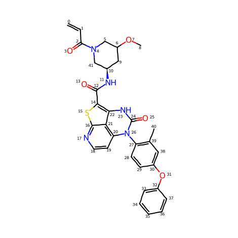 C=CC(=O)N1CC(OC)C[C@@H](NC(=O)c2sc3nccc4c3c2NC(=O)N4c2ccc(Oc3ccccc3)cc2C)C1